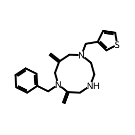 C=C1CN(Cc2ccsc2)CCNCC(=C)N(Cc2ccccc2)C1